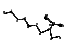 CCCCCCCC(CC)[S+]([O-])Cl